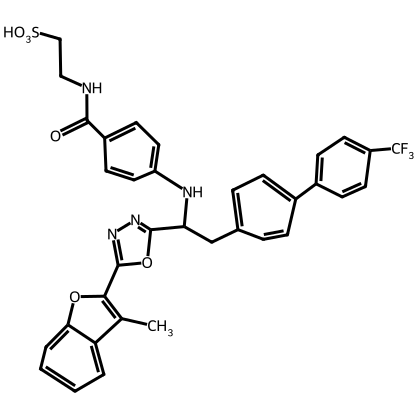 Cc1c(-c2nnc(C(Cc3ccc(-c4ccc(C(F)(F)F)cc4)cc3)Nc3ccc(C(=O)NCCS(=O)(=O)O)cc3)o2)oc2ccccc12